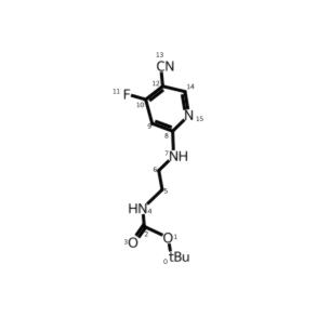 CC(C)(C)OC(=O)NCCNc1cc(F)c(C#N)cn1